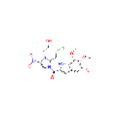 COc1cc2cc(C(=O)N3C=C([N+](=O)[O-])N(CCO)C3[CH]CCl)[nH]c2c(OC)c1OC